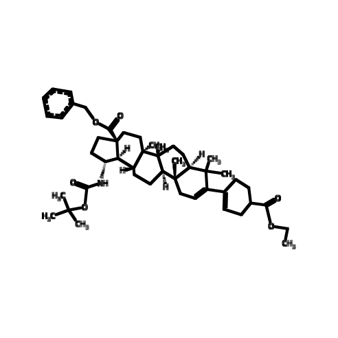 CCOC(=O)C1CC=C(C2=CC[C@]3(C)[C@H]4CC[C@@H]5[C@H]6[C@H](NC(=O)OC(C)(C)C)CC[C@]6(C(=O)OCc6ccccc6)CC[C@@]5(C)[C@]4(C)CC[C@H]3C2(C)C)CC1